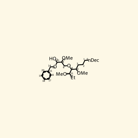 CCCCCCCCCCCCCC(OC)C(OCC(OC)C(O)OCc1ccccc1)C(CC)OC